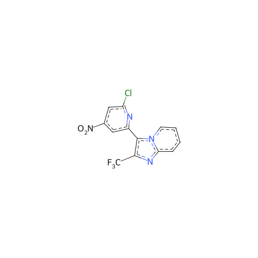 O=[N+]([O-])c1cc(Cl)nc(-c2c(C(F)(F)F)nc3ccccn23)c1